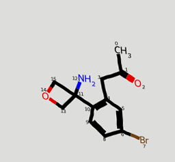 CC(=O)Cc1cc(Br)ccc1C1(N)COC1